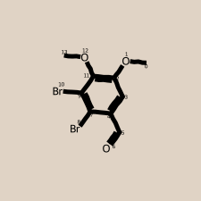 COc1cc(C=O)c(Br)c(Br)c1OC